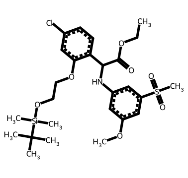 CCOC(=O)C(Nc1cc(OC)cc(S(C)(=O)=O)c1)c1ccc(Cl)cc1OCCO[Si](C)(C)C(C)(C)C